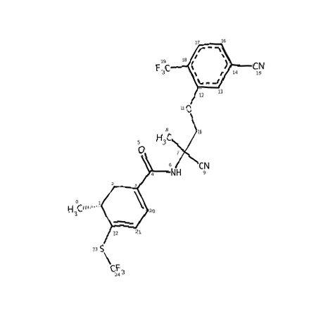 C[C@@H]1CC(C(=O)NC(C)(C#N)COc2cc(C#N)ccc2C(F)(F)F)=CC=C1SC(F)(F)F